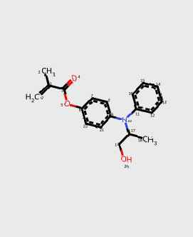 C=C(C)C(=O)Oc1ccc(N(c2ccccc2)C(C)CO)cc1